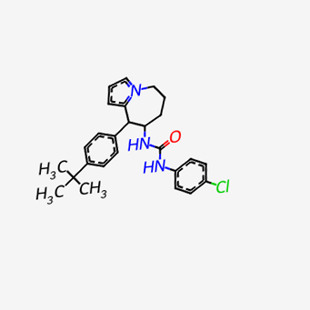 CC(C)(C)c1ccc(C2c3cccn3CCCC2NC(=O)Nc2ccc(Cl)cc2)cc1